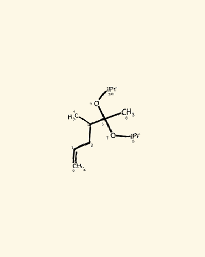 C=CCC(C)C(C)(OC(C)C)OC(C)C